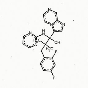 CC(C)(Cc1ccc(F)cc1F)C(O)(Nc1ncccn1)c1cnc2cnccn12